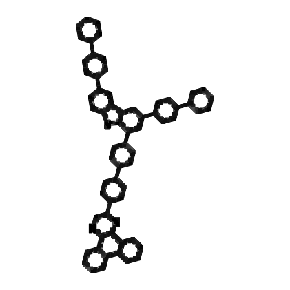 c1ccc(-c2ccc(-c3ccc4sc5c(-c6ccc(-c7ccc(-c8cnc9c%10ccccc%10c%10ccccc%10c9n8)cc7)cc6)cc(-c6ccc(-c7ccccc7)cc6)cc5c4c3)cc2)cc1